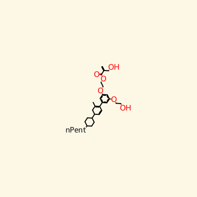 C=C(CO)C(=O)OCCOc1cc(OCCO)cc(C2=C(C)CC(C3CCC(CCCCC)CC3)C=C2)c1